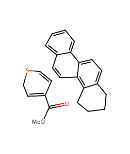 COC(=O)C1=CCSC=C1.c1ccc2c(c1)ccc1c3c(ccc12)CCCC3